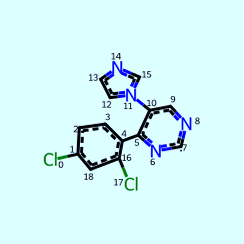 Clc1ccc(-c2n[c]ncc2-n2ccnc2)c(Cl)c1